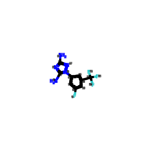 Nc1nc(N)n(-c2cc(F)cc(C(F)(F)F)c2)n1